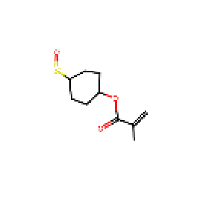 C=C(C)C(=O)OC1CCC([S+]=O)CC1